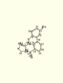 Fc1ccc(CN2C3=NCCN3C(=S)c3ccccc32)cc1